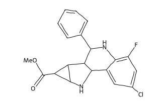 COC(=O)C1C2NC3c4cc(Cl)cc(F)c4NC(c4ccccc4)C3C21